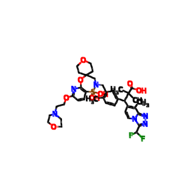 Cc1ccc(C(c2ccn3c(C(F)F)nnc3c2C)C(C)(C)C(=O)O)cc1CN1CC2(CCOCC2)Oc2nc(OCCN3CCOCC3)ccc2S1(O)O